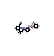 CC1(C)CC(c2cccc(NS(=O)(=O)c3ccccc3F)c2)Nc2c(C#N)cccc21